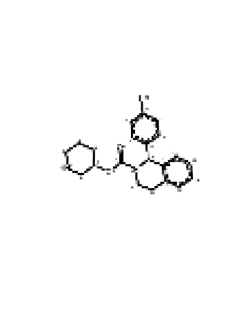 O=C(O[C@@H]1CCCNC1)N1CCc2ccccc2[C@@H]1c1ccc(F)cc1